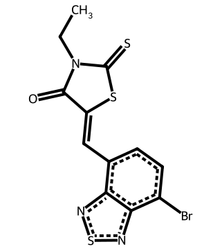 CCN1C(=O)/C(=C/c2ccc(Br)c3nsnc23)SC1=S